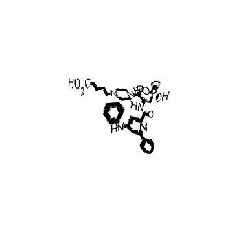 O=C(O)CCCCN1CCN(C(=O)[C@H](CP(=O)(O)O)NC(=O)c2cc(Nc3ccccc3)cc(-c3ccccc3)n2)CC1